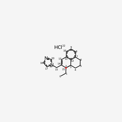 CCCC12CCCc3cccc(c31)C=C(Cn1ccnc1)C2.Cl